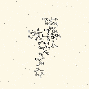 CC(C)(CF)NC(=O)N[C@H](C(=O)N1C[C@H]2[C@@H]([C@H]1C(=O)NC(CC1CC1)C(=O)C(=O)NCC(=O)NCc1ccccc1)C2(C)C)C(C)(C)C